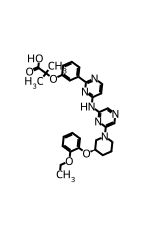 CCOc1ccccc1O[C@@H]1CCCN(c2cncc(Nc3ccnc(-c4cccc(OC(C)(C)C(=O)O)c4)n3)n2)C1